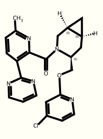 Cc1ccc(-c2ncccn2)c(C(=O)N2C[C@H]3C[C@H]3C[C@H]2COc2cc(Cl)ccn2)n1